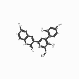 CCOc1nc(-c2cc3cc(Br)ccc3oc2=O)cc(-c2ccc(Cl)cc2Cl)c1C#N